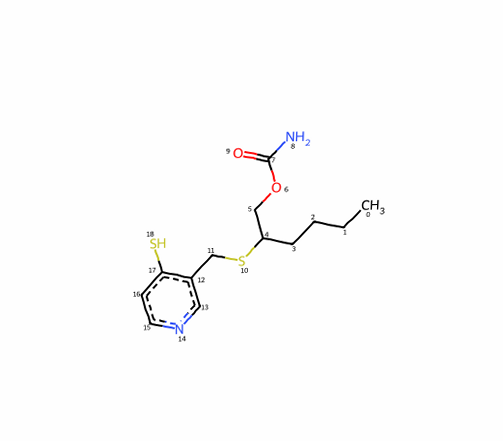 CCCCC(COC(N)=O)SCc1cnccc1S